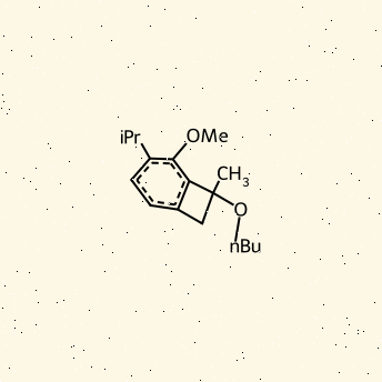 CCCCOC1(C)Cc2ccc(C(C)C)c(OC)c21